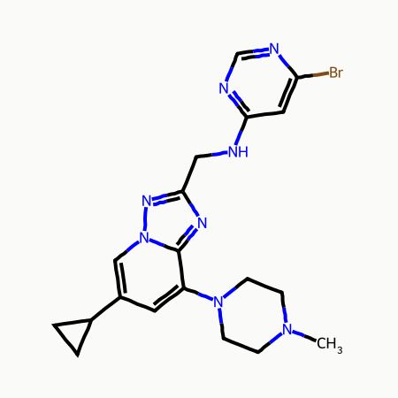 CN1CCN(c2cc(C3CC3)cn3nc(CNc4cc(Br)ncn4)nc23)CC1